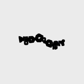 C/N=C(\O/N=C/C(C)C)N1CCC(COC2=CC=C(C3=CCC(C(=O)NC4CC4)CC3)C=CC2)CC1